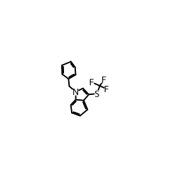 FC(F)(F)Sc1cn(Cc2ccccc2)c2ccccc12